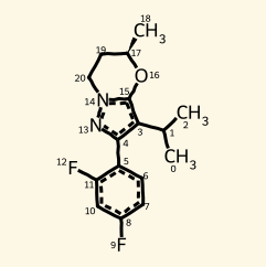 CC(C)c1c(-c2ccc(F)cc2F)nn2c1O[C@H](C)CC2